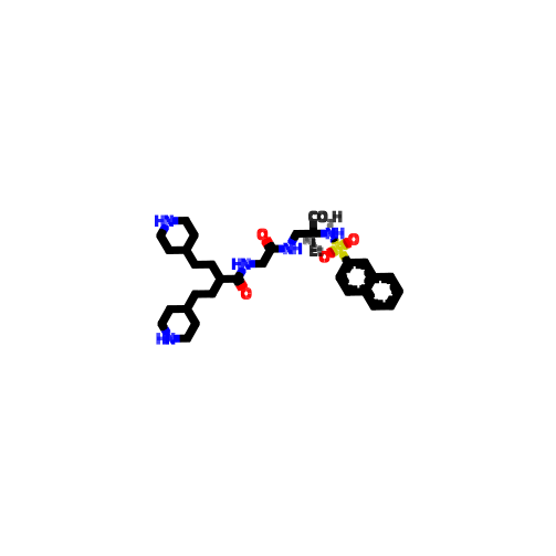 CC[C@@](CNC(=O)CNC(=O)C(CCC1CCNCC1)CCC1CCNCC1)(NS(=O)(=O)c1ccc2ccccc2c1)C(=O)O